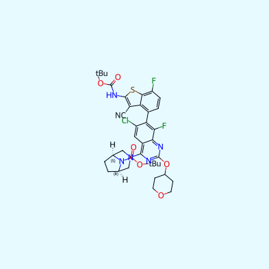 CC(C)(C)OC(=O)Nc1sc2c(F)ccc(-c3c(Cl)cc4c(N5C[C@H]6CC[C@@H](C5)N6C(=O)OC(C)(C)C)nc(OC5CCOCC5)nc4c3F)c2c1C#N